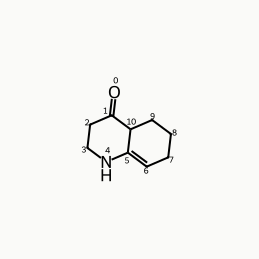 O=C1CCNC2=CCCCC12